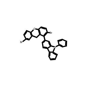 Brc1ccc2c(c1)Cc1c(ccc(Br)c1-c1ccc3c4ccccc4n(-c4ccccc4)c3c1)O2